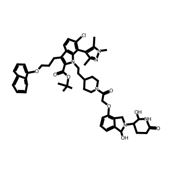 Cc1nn(C)c(C)c1-c1c(Cl)ccc2c(CCCOc3cccc4ccccc34)c(C(=O)OC(C)(C)C)n(CCC3CCN(C(=O)COc4cccc5c4CN(C4CCC(=O)NC4O)C5O)CC3)c12